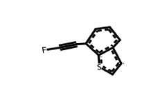 FC#Cc1cccc2[c]csc12